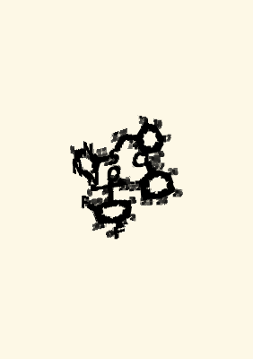 Fc1ccc([C@]2(Cn3ncnc3SCc3ccccc3)O[C@@H]2c2ccccc2Cl)c(F)c1